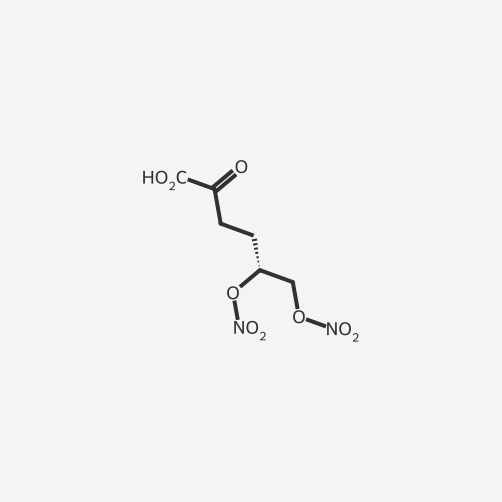 O=C(O)C(=O)CC[C@H](CO[N+](=O)[O-])O[N+](=O)[O-]